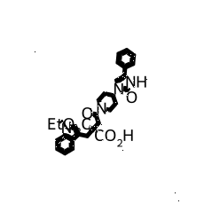 CCOC(=O)[C@](CC(=O)N1CCC(n2cc(-c3ccccc3)[nH]c2=O)CC1)(Cc1cn(C)c2ccccc12)C(=O)O